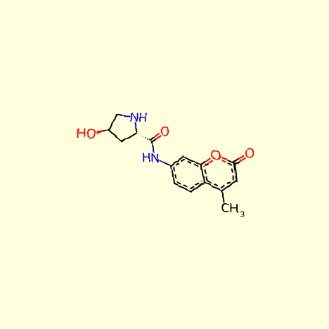 Cc1cc(=O)oc2cc(NC(=O)[C@@H]3C[C@@H](O)CN3)ccc12